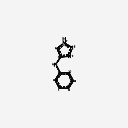 c1ccc([N]c2c[nH]nn2)cc1